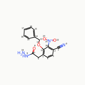 N#Cc1ccc(CC(=O)NN)c(OCc2ccccc2)c1[N+](=O)[O-]